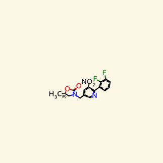 C[C@@H]1CN(Cc2cnc(-c3cccc(F)c3F)c([N+](=O)[O-])c2)C(=O)O1